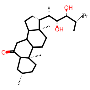 CC(C)[C@H](C)[C@@H](O)[C@H](O)[C@@H](C)[C@H]1CCC2C3CC(=O)C4C[C@@H](C)CC[C@]4(C)C3CC[C@@]21C